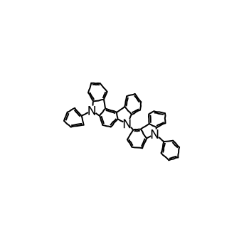 c1ccc(-n2c3ccccc3c3c(-n4c5ccccc5c5c6c7ccccc7n(-c7ccccc7)c6ccc54)cccc32)cc1